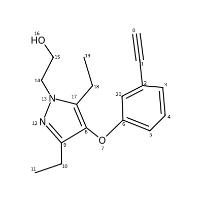 C#Cc1cccc(Oc2c(CC)nn(CCO)c2CC)c1